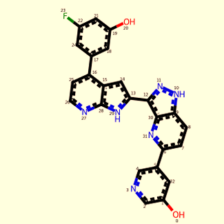 Oc1cncc(-c2ccc3[nH]nc(-c4cc5c(-c6cc(O)cc(F)c6)ccnc5[nH]4)c3n2)c1